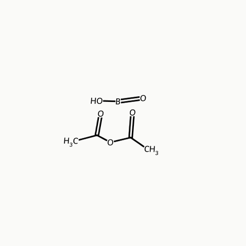 CC(=O)OC(C)=O.O=BO